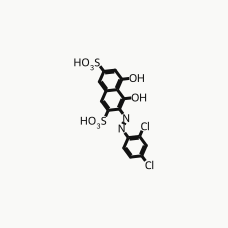 O=S(=O)(O)c1cc(O)c2c(O)c(N=Nc3ccc(Cl)cc3Cl)c(S(=O)(=O)O)cc2c1